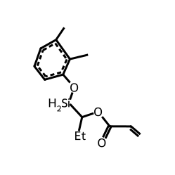 C=CC(=O)OC(CC)[SiH2]Oc1cccc(C)c1C